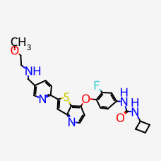 COCCNCc1ccc(-c2cc3nccc(Oc4ccc(NC(=O)NC5CCC5)cc4F)c3s2)nc1